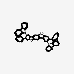 c1ccc(-c2cc3oc4cc5c(cc4c3cc2-n2c3ccccc3c3ccccc32)oc2cc(-c3ccccc3)c(-n3c4ccccc4c4ccccc43)cc25)cc1